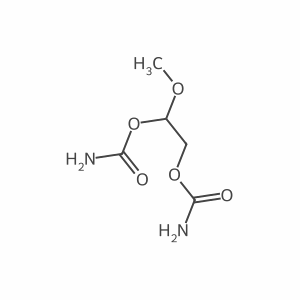 COC(COC(N)=O)OC(N)=O